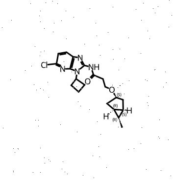 C[C@H]1[C@H]2C[C@@H](OCCC(=O)Nc3nc4ccc(Cl)nc4n3C3CCC3)C[C@@H]12